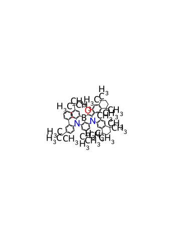 Cc1cc2c(cc1N1c3cc(C(C)(C)C)cc4c3B(c3cc(C(C)(C)C)ccc3N4c3ccc(C(C)(C)C)cc3-c3ccccc3)c3oc4cc5c(cc4c31)C(C)(C)CCC5(C)C)C(C)(C)CCC2(C)C